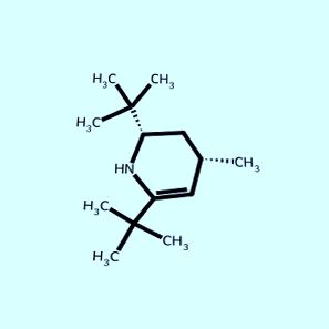 C[C@@H]1C=C(C(C)(C)C)N[C@H](C(C)(C)C)C1